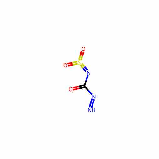 N=NC(=O)N=S(=O)=O